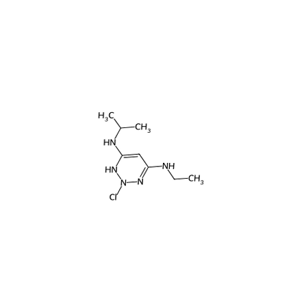 CCNC1=NN(Cl)NC(NC(C)C)=C1